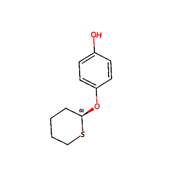 Oc1ccc(O[C@@H]2CCCCS2)cc1